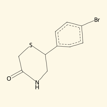 O=C1CSC(c2ccc(Br)cc2)CN1